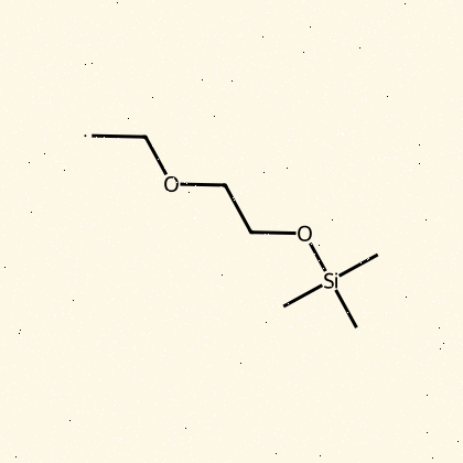 [CH2]COCCO[Si](C)(C)C